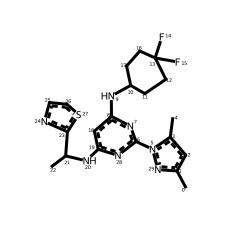 Cc1cc(C)n(-c2nc(NC3CCC(F)(F)CC3)cc(NC(C)c3nccs3)n2)n1